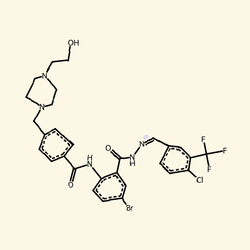 O=C(Nc1ccc(Br)cc1C(=O)N/N=C\c1ccc(Cl)c(C(F)(F)F)c1)c1ccc(CN2CCN(CCO)CC2)cc1